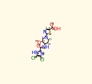 CO[C@H]1CN(c2ncc(C(=O)O)s2)CC[C@H]1NC(=O)c1nc(Cl)c(Cl)[nH]1